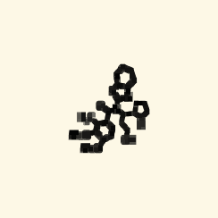 COc1ccc(C(=O)N(c2nc3ccccc3s2)C(CCO)C2CCCN2)c(C)c1OC